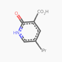 CC(C)c1c[nH]c(=O)c(C(=O)O)c1